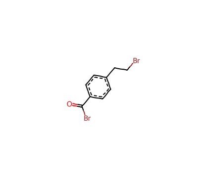 O=C(Br)c1ccc(CCBr)cc1